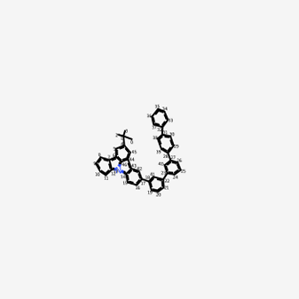 CC(C)(C)c1cc2c3ccccc3n3c4ccc(-c5cccc(-c6cccc(-c7ccc(-c8ccccc8)cc7)c6)c5)cc4c(c1)c23